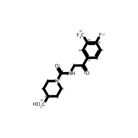 O=C(CNC(=O)N1CCC(C(=O)O)CC1)c1ccc(F)c(C(F)(F)F)c1